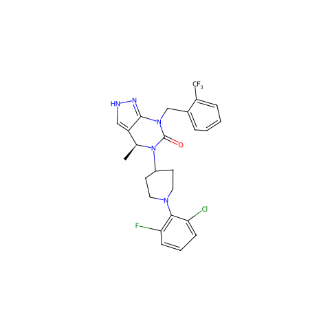 C[C@H]1c2c[nH]nc2N(Cc2ccccc2C(F)(F)F)C(=O)N1C1CCN(c2c(F)cccc2Cl)CC1